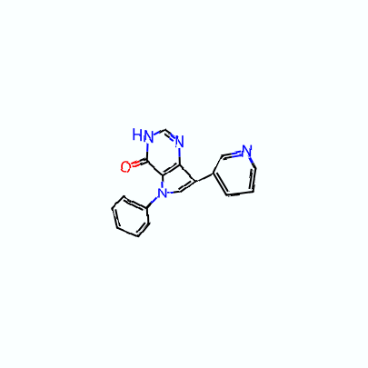 O=c1[nH]cnc2c(-c3cccnc3)cn(-c3ccccc3)c12